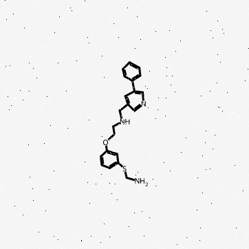 NCSc1cccc(OCCNCc2cncc(-c3ccccc3)c2)c1